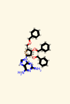 Nc1nc(N)c2ncn([C@H]3S[C@@H](COCc4ccccc4)[C@@H](OCc4ccccc4)[C@@H]3OCc3ccccc3)c2n1